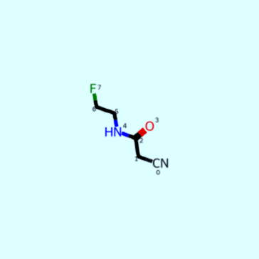 N#CCC(=O)NCCF